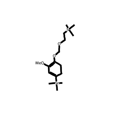 COC1=C(OCOCC[Si](C)(C)C)C[CH][C]([Sn]([CH3])([CH3])[CH3])=C1